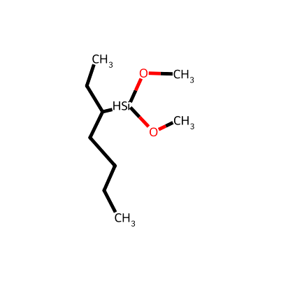 CCCCC(CC)[SiH](OC)OC